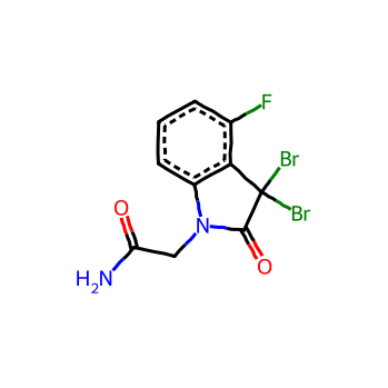 NC(=O)CN1C(=O)C(Br)(Br)c2c(F)cccc21